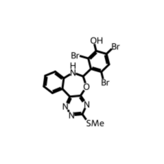 CSc1nnc2c(n1)OC(c1c(Br)cc(Br)c(O)c1Br)Nc1ccccc1-2